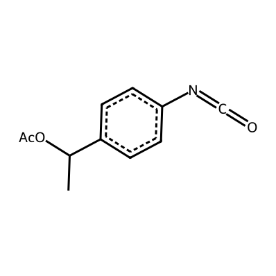 CC(=O)OC(C)c1ccc(N=C=O)cc1